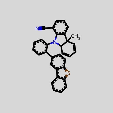 CC12C=CC=CC1N(c1ccccc1-c1ccc3sc4ccccc4c3c1)c1c(C#N)cccc12